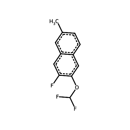 Cc1ccc2cc(OC(F)F)c(F)cc2c1